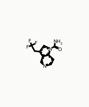 NC(=O)n1cc(CC(F)(F)F)c2cnccc21